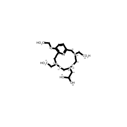 O=C(O)COc1ccc2nc1CN(CC(=O)O)CCN(CC(O)O)CCN(CC(=O)O)C2